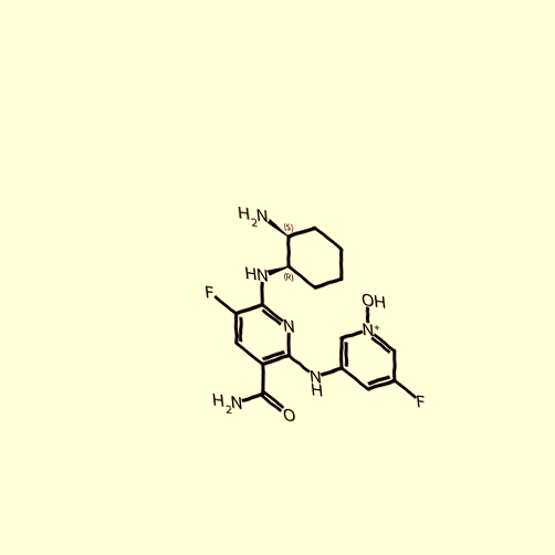 NC(=O)c1cc(F)c(N[C@@H]2CCCC[C@@H]2N)nc1Nc1cc(F)c[n+](O)c1